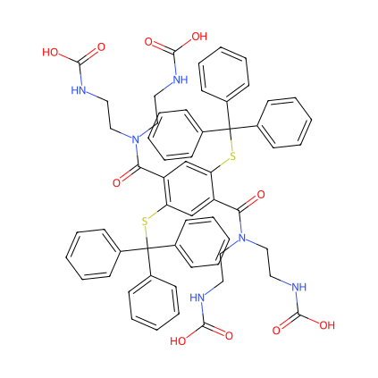 O=C(O)NCCN(CCNC(=O)O)C(=O)c1cc(SC(c2ccccc2)(c2ccccc2)c2ccccc2)c(C(=O)N(CCNC(=O)O)CCNC(=O)O)cc1SC(c1ccccc1)(c1ccccc1)c1ccccc1